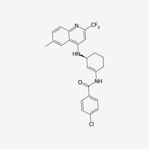 Cc1ccc2nc(C(F)(F)F)cc(N[C@@H]3C=C(NC(=O)c4ccc(Cl)cc4)CCC3)c2c1